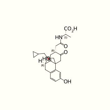 C[C@H](NC(=O)C[C@H]1C[C@@]2(O)[C@H]3Cc4ccc(O)cc4C2(CC1=O)CN3CC1CC1)C(=O)O